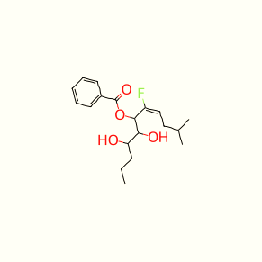 CCCC(O)C(O)C(OC(=O)c1ccccc1)/C(F)=C\CC(C)C